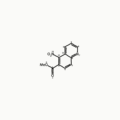 COC(=O)c1ccc2ncccc2c1[N+](=O)[O-]